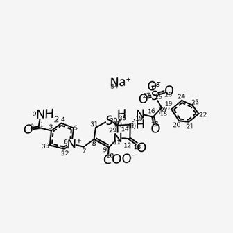 NC(=O)c1cc[n+](CC2=C(C(=O)[O-])N3C(=O)[C@@H](NC(=O)[C@@H](c4ccccc4)S(=O)(=O)[O-])[C@H]3SC2)cc1.[Na+]